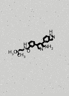 CN(C)CCNC(=O)c1cccc(-c2cnc(N)c(-c3ccc4[nH]ncc4c3)c2)c1